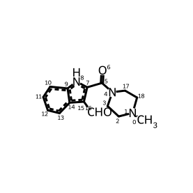 CN1CCN(C(=O)c2[nH]c3ccccc3c2C=O)CC1